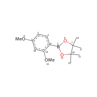 COc1ccc(B2OC(C)(C)C(C)(C)O2)c(OC)c1